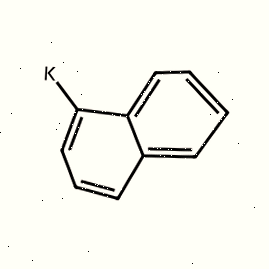 [K][c]1cccc2ccccc12